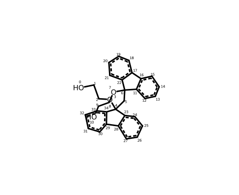 OCCOC1(CC2(OCCO)c3ccccc3-c3ccccc32)c2ccccc2-c2ccccc21